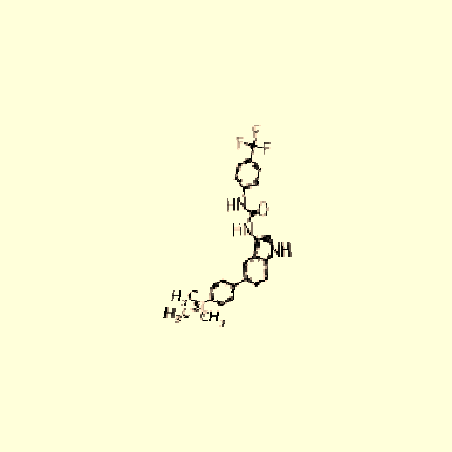 C[Si](C)(C)c1ccc(-c2ccc3[nH]cc(NC(=O)Nc4ccc(C(F)(F)F)cc4)c3c2)cc1